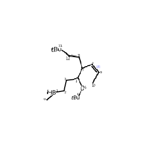 CBCCC(OC(C)(C)C)C(/C=C\C)CCC(C)(C)C